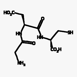 NCC(=O)N[C@@H](CC(=O)O)C(=O)N[C@@H](CS)C(=O)O